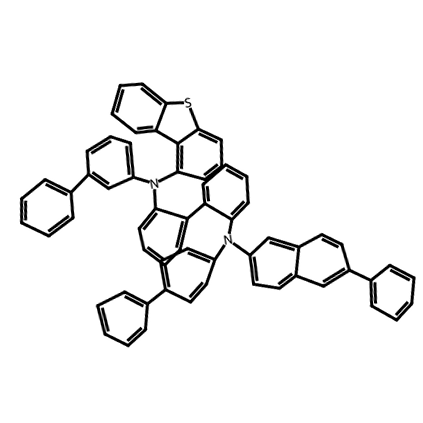 c1ccc(-c2ccc(N(c3ccc4cc(-c5ccccc5)ccc4c3)c3ccccc3-c3ccccc3N(c3cccc(-c4ccccc4)c3)c3cccc4sc5ccccc5c34)cc2)cc1